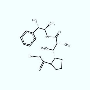 COC([C@@H](C)C(=O)N[C@H](C)[C@@H](O)c1ccccc1)[C@@H]1CCCN1C(=O)OC(C)(C)C